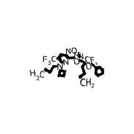 C=CCCN(c1nc(-c2nnc(C(CCC=C)(OCc3ccccc3)C(F)(F)F)o2)c([N+](=O)[O-])cc1C(F)(F)F)C1CCC1